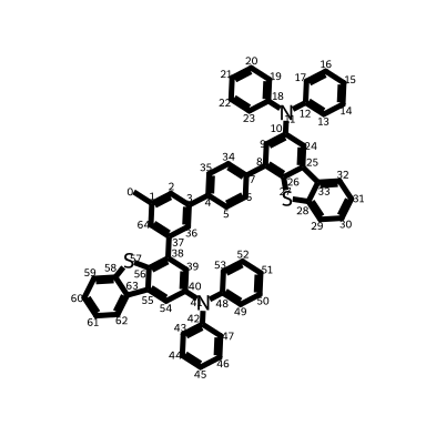 Cc1cc(-c2ccc(-c3cc(N(c4ccccc4)c4ccccc4)cc4c3sc3ccccc34)cc2)cc(-c2cc(N(c3ccccc3)c3ccccc3)cc3c2sc2ccccc23)c1